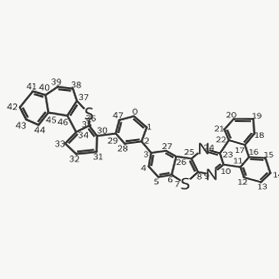 c1cc(-c2ccc3sc4nc5c6ccccc6c6ccccc6c5nc4c3c2)cc(-c2cccc3c2sc2ccc4ccccc4c23)c1